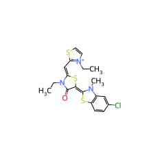 CCn1c(=O)/c(=C2\Sc3ccc(Cl)cc3N2C)s/c1=C\c1scc[n+]1CC